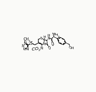 Cn1nnnc1SCC1=C(C(=O)O)N2C(=O)[C@@H](NC(=O)C(N)c3ccc(CO)cc3)[C@H]2SC1